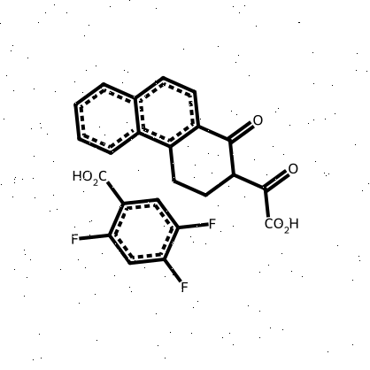 O=C(O)C(=O)C1CCc2c(ccc3ccccc23)C1=O.O=C(O)c1cc(F)c(F)cc1F